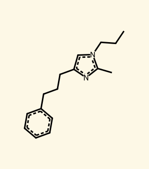 CCCn1cc(CCCc2ccccc2)nc1C